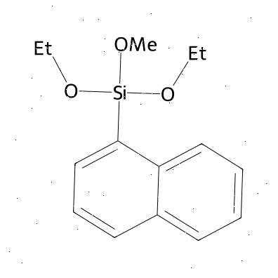 CCO[Si](OC)(OCC)c1cccc2ccccc12